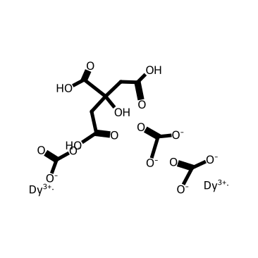 O=C(O)CC(O)(CC(=O)O)C(=O)O.O=C([O-])[O-].O=C([O-])[O-].O=C([O-])[O-].[Dy+3].[Dy+3]